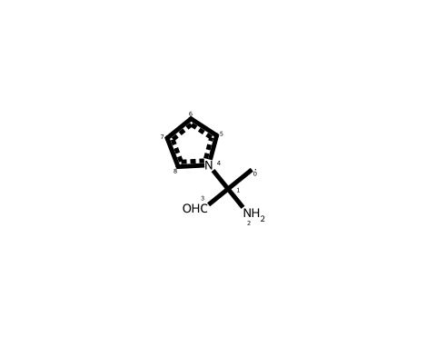 [CH2]C(N)(C=O)n1cccc1